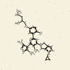 CNCC(O)COc1ccc(Cl)c(-c2nc(-c3c(C)noc3C)c(C)c(N3Cc4cnn(C5CC5)c4C3)n2)c1